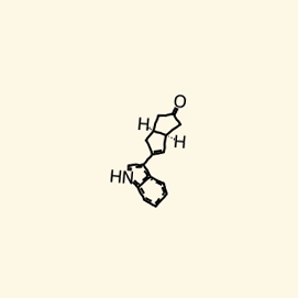 O=C1C[C@@H]2CC(c3c[nH]c4ccccc34)=C[C@@H]2C1